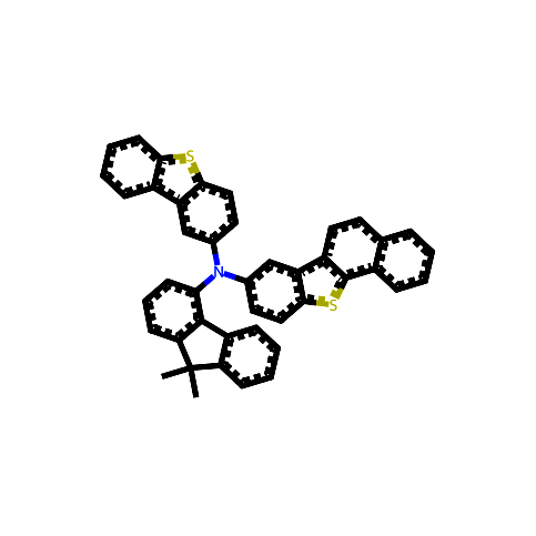 CC1(C)c2ccccc2-c2c(N(c3ccc4sc5ccccc5c4c3)c3ccc4sc5c6ccccc6ccc5c4c3)cccc21